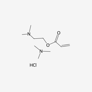 C=CC(=O)OCCN(C)C.CN(C)C.Cl